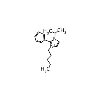 CCCCC[n+]1ccn(C(C)C)c1-c1ccccc1